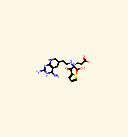 NC1=NC2=C(CC(CCN[C@@](CCC(=O)O)(C(=O)O)C(=O)c3cccs3)CN2)C(N)N1